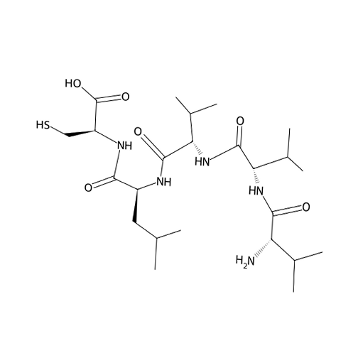 CC(C)C[C@H](NC(=O)[C@@H](NC(=O)[C@@H](NC(=O)[C@@H](N)C(C)C)C(C)C)C(C)C)C(=O)N[C@@H](CS)C(=O)O